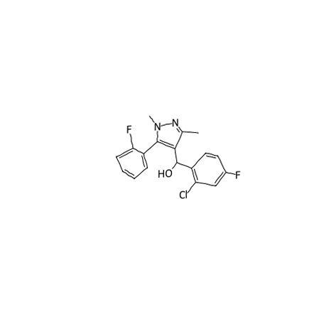 Cc1nn(C)c(-c2ccccc2F)c1C(O)c1ccc(F)cc1Cl